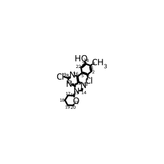 Cc1cc(Cl)c(-c2nc(Cl)nc3c2ncn3C2CCCCO2)cc1O